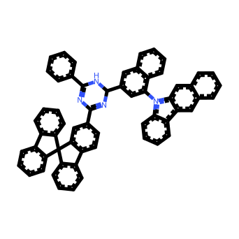 c1ccc(C2=NC(c3ccc4c(c3)C3(c5ccccc5-c5ccccc53)c3ccccc3-4)=NC(c3cc(-n4c5ccccc5c5cc6ccccc6cc54)c4ccccc4c3)N2)cc1